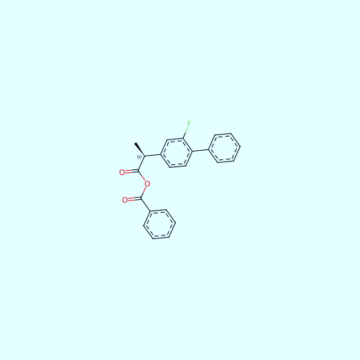 C[C@H](C(=O)OC(=O)c1ccccc1)c1ccc(-c2ccccc2)c(F)c1